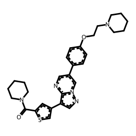 O=C(c1cc(-c2cnn3cc(-c4ccc(OCCN5CCCCC5)cc4)cnc23)cs1)N1CCCCC1